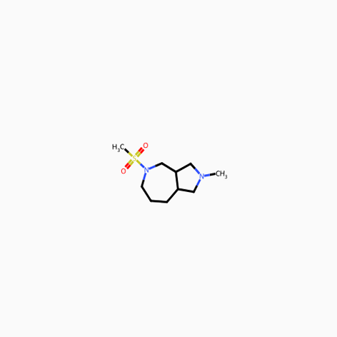 CN1CC2CCCN(S(C)(=O)=O)CC2C1